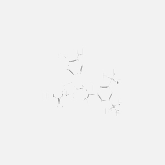 O=C(N[C@H]1CN(C(=O)O)C[C@@H]1c1ccc(Cl)c(Cl)c1)c1cc(C(F)(F)F)cc(C(F)(F)F)c1